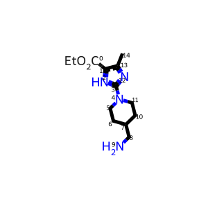 CCOC(=O)c1[nH]c(N2CCC(CN)CC2)nc1C